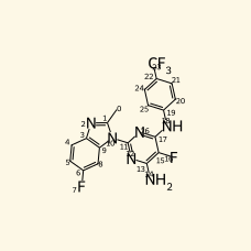 Cc1nc2ccc(F)cc2n1-c1nc(N)c(F)c(Nc2ccc(C(F)(F)F)cc2)n1